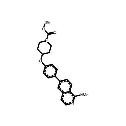 CNc1nccc2cc(-c3ccc(OC4CCN(C(=O)OC(C)(C)C)CC4)cc3)ccc12